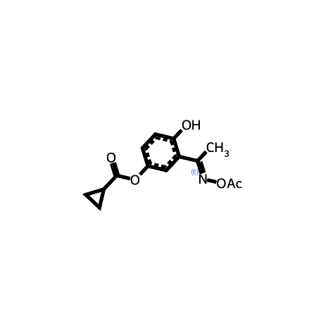 CC(=O)O/N=C(\C)c1cc(OC(=O)C2CC2)ccc1O